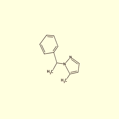 Cc1ccnn1C(C)c1ccccc1